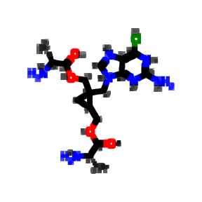 CC(C)[C@H](N)C(=O)OCC1CC1(COC(=O)[C@@H](N)C(C)C)Cn1cnc2c(Cl)nc(N)nc21